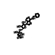 O=P(O)(O)OP(=O)(O)OC[C@H]1OC(n2cnc3c(NCc4ccccc4)ncnc32)[C@H](O)[C@@H]1O